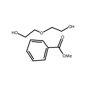 COC(=O)c1ccccc1.OCCOCCO